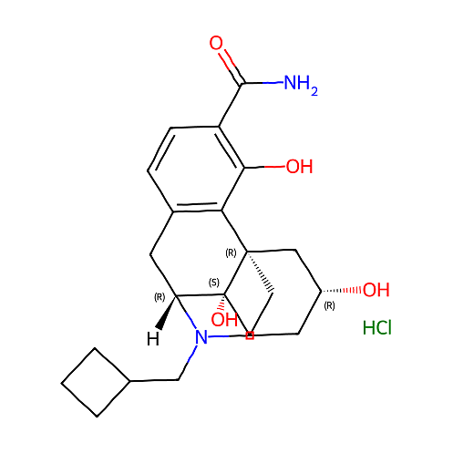 Cl.NC(=O)c1ccc2c(c1O)[C@]13CCN(CC4CCC4)[C@H](C2)[C@]1(O)CC[C@@H](O)C3